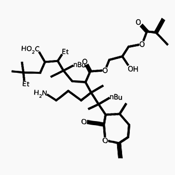 C=C1CCC(C)C(C(C)(CCCC)C(C)(CCCN)C(CC(C)(CCCC)C(CC)C(CC(C)(C)CC)C(=O)O)C(=O)OCC(O)COC(=O)C(=C)C)C(=O)O1